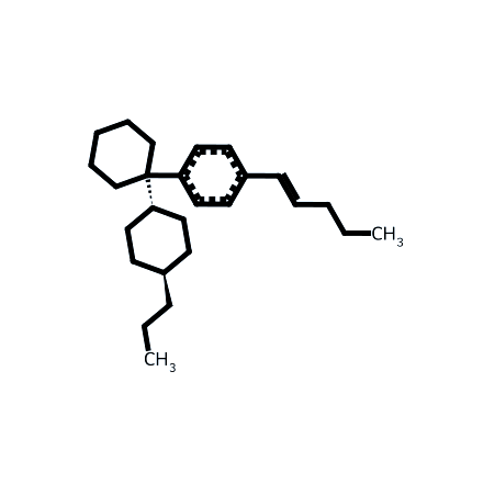 CCC/C=C/c1ccc(C2([C@H]3CC[C@H](CCC)CC3)CCCCC2)cc1